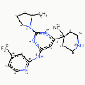 CC1CCCN1c1nc(Nc2cc(C(F)(F)F)ccn2)cc(C2(C#N)CCNCC2)n1